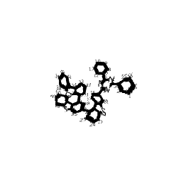 c1ccc(-c2nc(-c3ccccc3)nc(-c3ccc4c(c3)sc3cccc(-c5cc(-c6cccc7c6oc6ccccc67)c6c(c5)sc5ccccc56)c34)n2)cc1